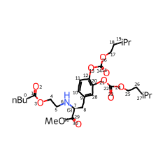 CCCCC(=O)OCCN[C@@H](Cc1ccc(OC(=O)OCCC(C)C)c(OC(=O)OCCC(C)C)c1)C(=O)OC